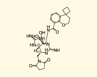 N=C1N[C@H]2[C@H](CN3C(=O)CCC3=O)NC(=N)N3CC(NC(=O)c4cccc5c4OCCC54CCC4)C(O)(O)C23N1